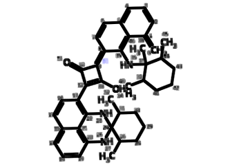 C=c1cccc2cc/c(=C3\C(=O)C(c4ccc5cccc6c5c4NC4(N6)C(C)CCCC4C)=C3O)c(NC3(C)C(C)CCCC3C)c12